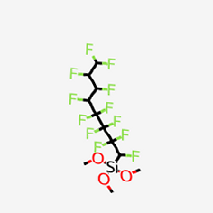 CO[Si](OC)(OC)C(F)C(F)(F)C(F)(F)C(F)(F)C(F)C(F)C(F)C(F)F